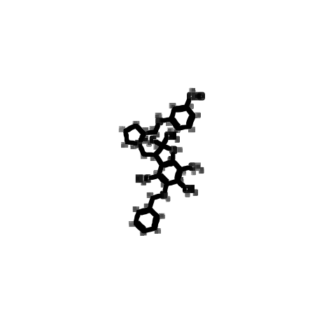 Cc1c(C)c2c(c(C)c1OCc1ccccc1)C(CN1CCC[C@H]1COc1cccc(C=O)c1)C(C)(C)O2